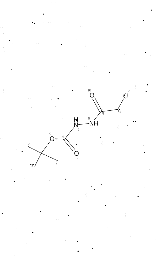 CC(C)(C)OC(=O)NNC(=O)CCl